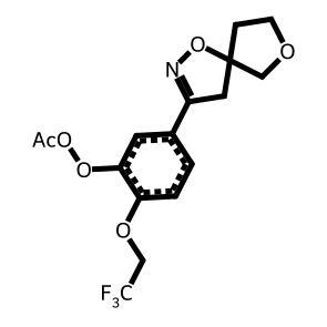 CC(=O)OOc1cc(C2=NOC3(CCOC3)C2)ccc1OCC(F)(F)F